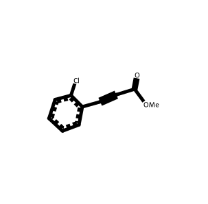 COC(=O)C#Cc1ccccc1Cl